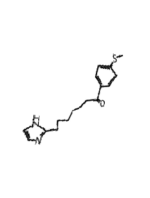 CSc1ccc(C(=O)CCCCCCc2ncc[nH]2)cc1